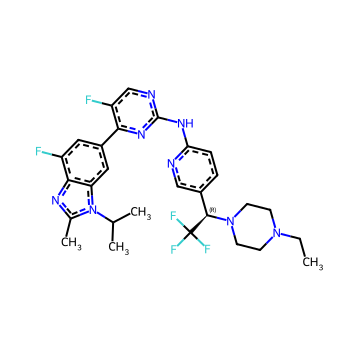 CCN1CCN([C@H](c2ccc(Nc3ncc(F)c(-c4cc(F)c5nc(C)n(C(C)C)c5c4)n3)nc2)C(F)(F)F)CC1